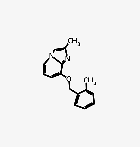 Cc1cn2cccc(OCc3ccccc3C)c2n1